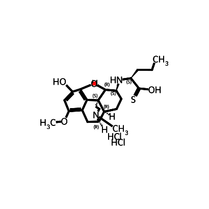 CCC[C@H](N[C@H]1CC[C@H]2[C@H]3Cc4c(OC)cc(O)c5c4[C@@]2(CCN3C)[C@H]1O5)C(O)=S.Cl.Cl